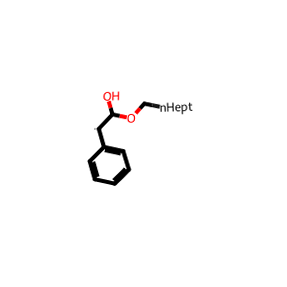 CCCCCCCCOC(O)[CH]c1ccccc1